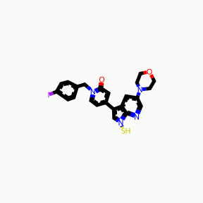 O=c1cc(-c2cn(S)c3ncc(N4CCOCC4)cc23)ccn1Cc1ccc(I)cc1